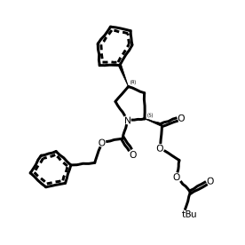 CC(C)(C)C(=O)OCOC(=O)[C@@H]1C[C@H](c2ccccc2)CN1C(=O)OCc1ccccc1